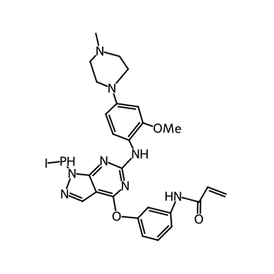 C=CC(=O)Nc1cccc(Oc2nc(Nc3ccc(N4CCN(C)CC4)cc3OC)nc3c2cnn3PI)c1